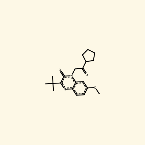 COc1ccc2nc(C(C)(C)C)c(=O)n(CC(=O)C3CCCC3)c2c1